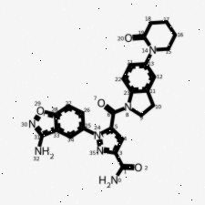 NC(=O)c1cc(C(=O)N2CCc3cc(N4CCCCC4=O)ccc32)n(-c2ccc3onc(N)c3c2)n1